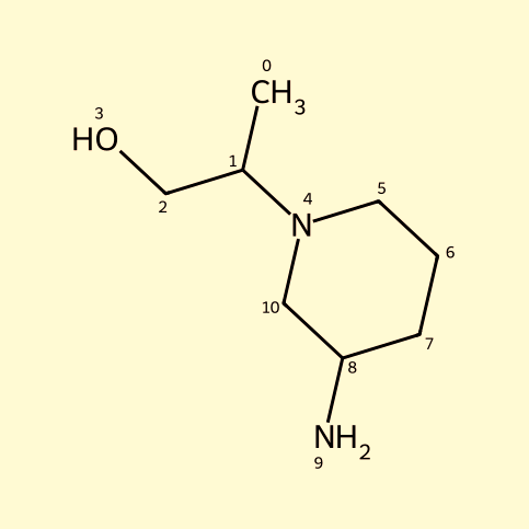 CC(CO)N1CCCC(N)C1